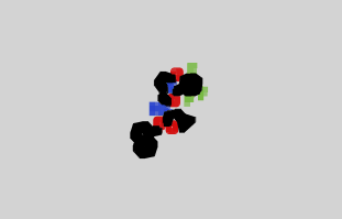 O=C(C[C@@H]1CCC(=O)N1Cc1cc(F)cc(F)c1F)N[C@@H](CC1CC1)C(=O)OCc1cccc2ccccc12